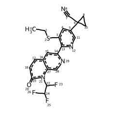 CCSc1cc(C2(C#N)CC2)cnc1-c1cc2ccc(=O)n(C(F)C(F)F)c2cn1